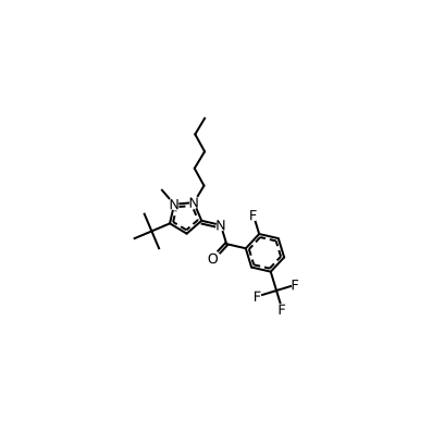 CCCCCn1/c(=N/C(=O)c2cc(C(F)(F)F)ccc2F)cc(C(C)(C)C)n1C